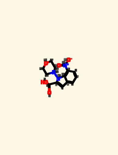 O=C(O)c1cc2cccc([N+](=O)[O-])c2n1N1CCOCC1